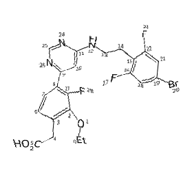 CCOc1c(CC(=O)O)ccc(-c2cc(NCCc3c(F)cc(Br)cc3F)ncn2)c1F